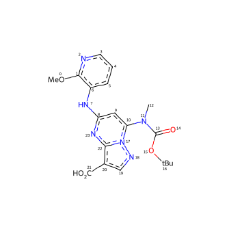 COc1ncccc1Nc1cc(N(C)C(=O)OC(C)(C)C)n2ncc(C(=O)O)c2n1